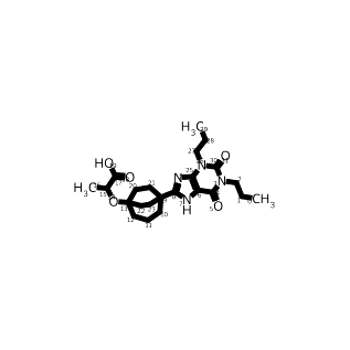 CCCn1c(=O)c2[nH]c(C34CCCC(OC(C)C(=O)O)(CC3)CC4)nc2n(CCC)c1=O